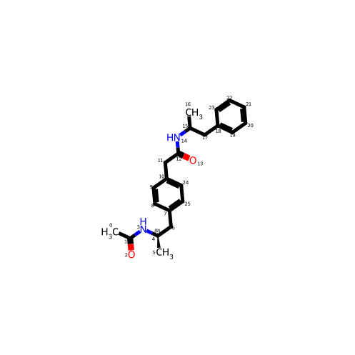 CC(=O)N[C@H](C)Cc1ccc(CC(=O)NC(C)Cc2ccccc2)cc1